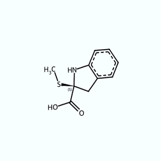 CS[C@]1(C(=O)O)Cc2ccccc2N1